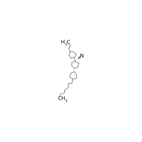 CCCCCCCC1CCC([C@H]2CC[C@](C#N)(C3CCC(CCC)CC3)CC2)CC1